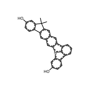 CC1(C)c2cc(O)ccc2-c2cc3cc4c(cc3cc21)c1cccc2c3ccc(O)cc3n4c21